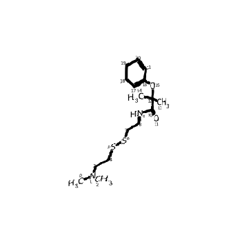 CN(C)CCSSCCNC(=O)C(C)(C)OC1=CCCC=C1